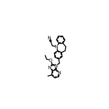 CCOc1nc2c(C)ccnc2n1Cc1ccc2c(c1)CCc1ccccc1N2CC#N